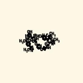 Cc1ncsc1-c1ccc([C@H](C)NC(=O)[C@H]2C[C@H](O)CN2C(=O)C(NC(=O)COc2ccc(O[C@H]3C[C@H](NC(=O)C[C@@H]4N=C(c5ccc(Cl)cc5)c5c(sc(C)c5C)-n5c(C)nnc54)C3)nc2)C(C)(C)C)cc1